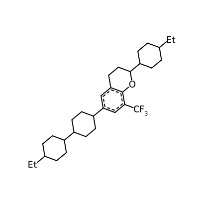 CCC1CCC(C2CCC(c3cc4c(c(C(F)(F)F)c3)OC(C3CCC(CC)CC3)CC4)CC2)CC1